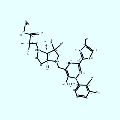 CCOC(=O)C1=C(CN2CC(F)(F)[C@H]3[C@@H]2CCN3C[C@@](C)(F)C(=O)OC(C)(C)C)NC(c2nc(C)cs2)=N[C@H]1c1cccc(F)c1C